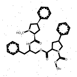 CC(C)(C)OC(=O)N1CC(c2ccccc2)CC1C(=O)OCC(Cc1ccccc1)NC(=O)[C@@H]1C[C@H](c2ccccc2)CN1C(=O)O